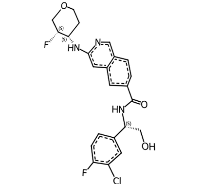 O=C(N[C@H](CO)c1ccc(F)c(Cl)c1)c1ccc2cnc(N[C@H]3CCOC[C@H]3F)cc2c1